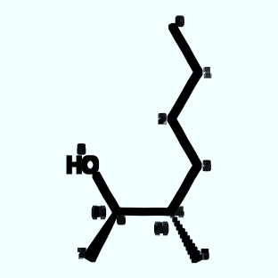 CCCC[C@H](C)[C@@H](C)O